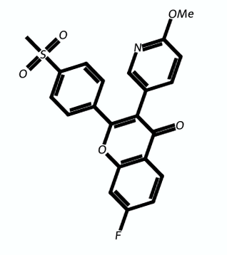 COc1ccc(-c2c(-c3ccc(S(C)(=O)=O)cc3)oc3cc(F)ccc3c2=O)cn1